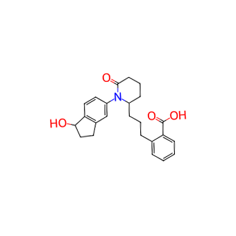 O=C(O)c1ccccc1CCCC1CCCC(=O)N1c1ccc2c(c1)CCC2O